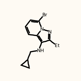 CCc1nn2c(Br)cccc2c1NCC1CC1